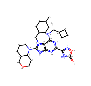 CC1CCC(Cn2c(N3CCCC4COCCC43)nc3nc(-c4noc(=O)[nH]4)nc(N[C@H](C)C4CCC4)c32)CC1